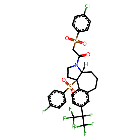 O=C(CS(=O)(=O)c1ccc(Cl)cc1)N1CC[C@@]2(S(=O)(=O)c3ccc(F)cc3)c3ccc(C(F)(C(F)(F)F)C(F)(F)F)cc3CCC[C@@H]12